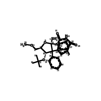 Cc1cn([C@]2([SiH3])O[C@H](CON)[C@@H](OC(C)(C)C)C2(c2ccccc2)c2ccccc2)c(=O)[nH]c1=O